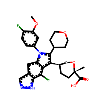 COc1cc(-n2c(C3CCOCC3)c([C@@H]3CC[C@@](C)(C(=O)O)OC3)c3c(F)c4[nH]ncc4cc32)ccc1F